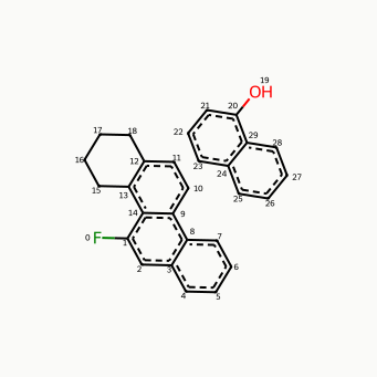 Fc1cc2ccccc2c2ccc3c(c12)CCCC3.Oc1cccc2ccccc12